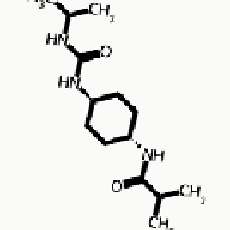 CC(C)NC(=O)N[C@H]1CC[C@H](NC(=O)C(C)C)CC1